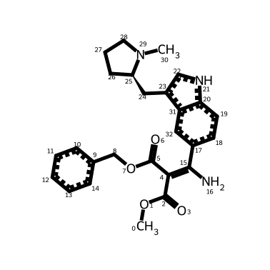 COC(=O)C(C(=O)OCc1ccccc1)=C(N)c1ccc2[nH]cc(C[C@H]3CCCN3C)c2c1